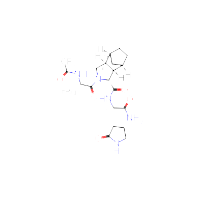 CC(C)(C)[C@H](NC(=O)C(F)(F)F)C(=O)N1C[C@@H]2[C@@H]3CC[C@@H](C3)[C@@H]2[C@H]1C(=O)N[C@@H](C[C@@H]1CCNC1=O)C(N)=O